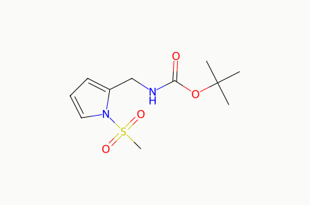 CC(C)(C)OC(=O)NCc1cccn1S(C)(=O)=O